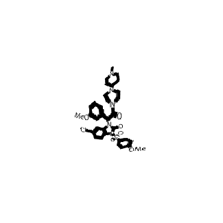 COc1ccc(S(=O)(=O)n2c(=O)n(C(C(=O)N3CCN(C4CCN(C)CC4)CC3)c3cccc(OC)c3)c3cc(Cl)ccc32)cc1